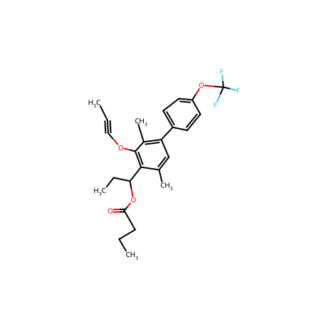 CC#COc1c(C)c(-c2ccc(OC(F)(F)F)cc2)cc(C)c1C(CC)OC(=O)CCC